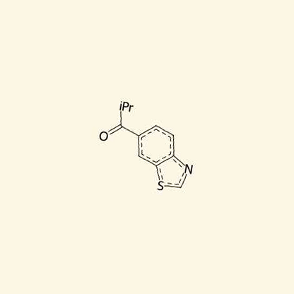 CC(C)C(=O)c1ccc2ncsc2c1